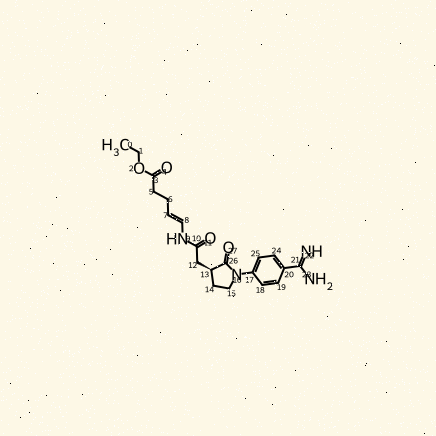 CCOC(=O)CCC=CNC(=O)C[C@@H]1CCN(c2ccc(C(=N)N)cc2)C1=O